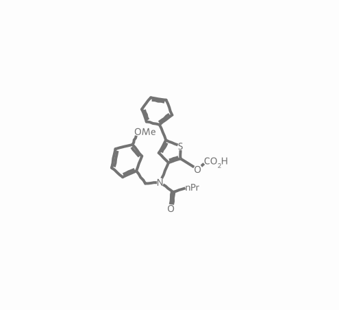 CCCC(=O)N(Cc1cccc(OC)c1)c1cc(-c2ccccc2)sc1OC(=O)O